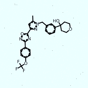 Cc1cc(-c2nc(-c3ccc(OC(F)(F)F)cc3)no2)nn1Cc1cccc(C2(O)CCOCC2)c1